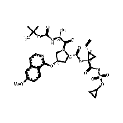 C=C[C@@H]1C[C@]1(NC(=O)[C@@H]1C[C@@H](Oc2nccc3cc(OC)ccc23)CN1C(=O)[C@@H](NC(=O)OC(C)(C)C(F)(F)F)C(C)(C)C)C(=O)NS(=O)(=O)OC1CC1